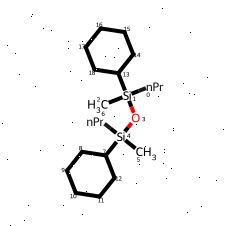 CCC[Si](C)(O[Si](C)(CCC)C1CCCCC1)C1CCCCC1